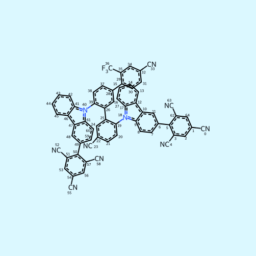 N#Cc1cc(C#N)c(-c2ccc3c(c2)c2ccccc2n3-c2ccc(C#N)cc2-c2cc(-c3ccc(C#N)cc3C(F)(F)F)ccc2-n2c3ccccc3c3cc(-c4c(C#N)cc(C#N)cc4C#N)ccc32)c(C#N)c1